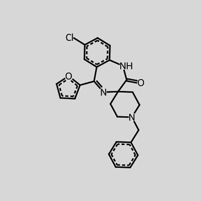 O=C1Nc2ccc(Cl)cc2C(c2ccco2)=NC12CCN(Cc1ccccc1)CC2